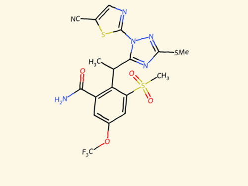 CSc1nc(C(C)c2c(C(N)=O)cc(OC(F)(F)F)cc2S(C)(=O)=O)n(-c2ncc(C#N)s2)n1